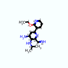 CCOc1ncccc1-c1cc(N)c(NC(C)C)c(C=N)n1